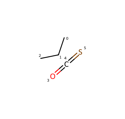 CCC.O=C=S